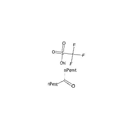 CCCCCC(=O)CCCCC.O=S(=O)(O)C(F)(F)F